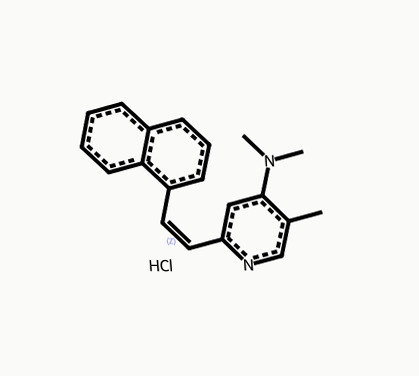 Cc1cnc(/C=C\c2cccc3ccccc23)cc1N(C)C.Cl